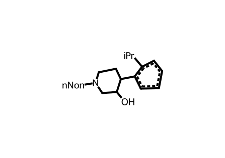 CCCCCCCCCN1CCC(c2ccccc2C(C)C)C(O)C1